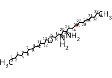 CCCCCCCCCCCCCCOCCCC(N)CC(N)CCCCCCCCCCCC